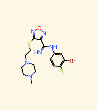 CN1CCN(CCSc2nonc2C(=N)Nc2ccc(F)c(Br)c2)CC1